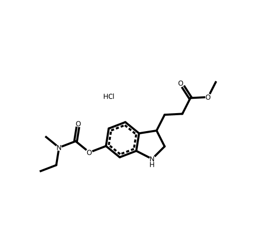 CCN(C)C(=O)Oc1ccc2c(c1)NCC2CCC(=O)OC.Cl